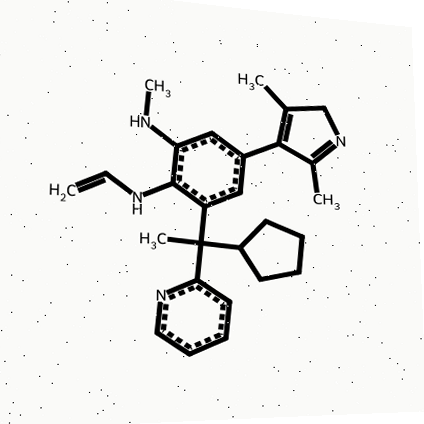 C=CNc1c(NC)cc(C2=C(C)CN=C2C)cc1C(C)(c1ccccn1)C1CCCC1